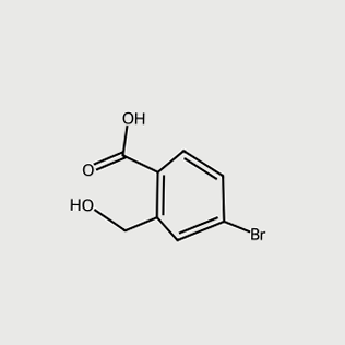 O=C(O)c1ccc(Br)cc1CO